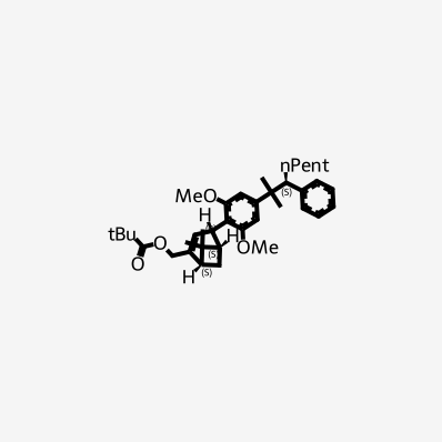 CCCCC[C@@H](c1ccccc1)C(C)(C)c1cc(OC)c([C@H]2C=C(COC(=O)C(C)(C)C)[C@H]3C[C@@H]2C3(C)C)c(OC)c1